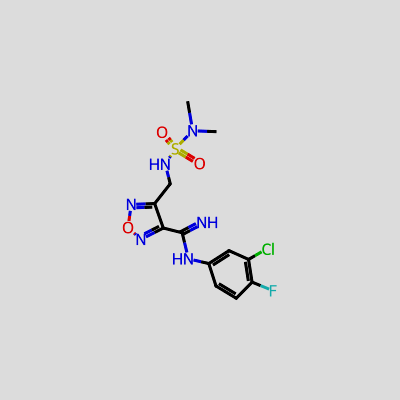 CN(C)S(=O)(=O)NCc1nonc1C(=N)Nc1ccc(F)c(Cl)c1